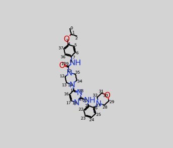 CC(C)Oc1ccc(NC(=O)N2CCN(c3ccnc(Nc4ccccc4N4CCOCC4)n3)CC2)cc1